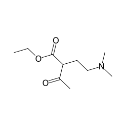 CCOC(=O)C(CCN(C)C)C(C)=O